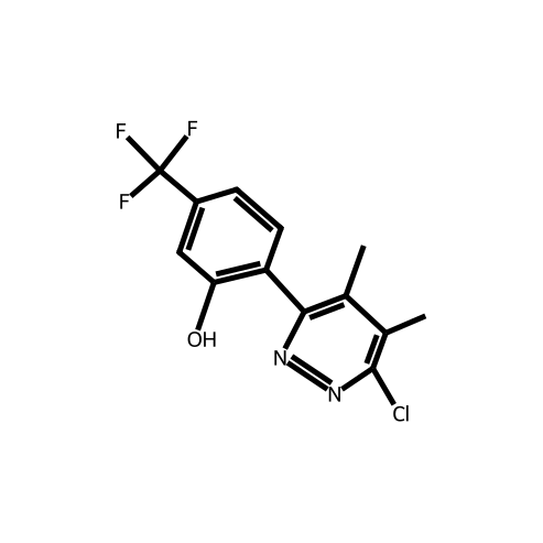 Cc1c(Cl)nnc(-c2ccc(C(F)(F)F)cc2O)c1C